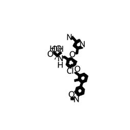 Cc1c(COc2cc(OCc3cncc(C#N)c3)c(CN[C@](C)(CO)C(=O)O)cc2Cl)cccc1-c1ccc2ncoc2c1